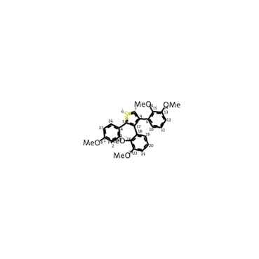 COc1ccc(-c2scc(-c3cccc(OC)c3OC)c2-c2cccc(OC)c2OC)cc1